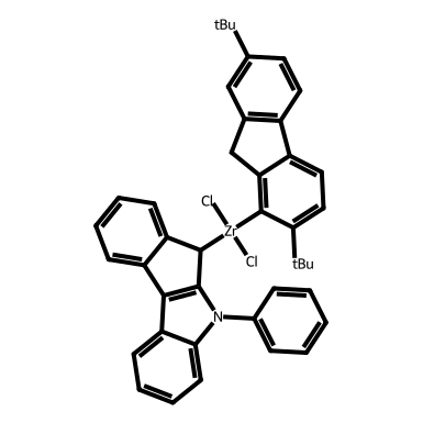 CC(C)(C)c1ccc2c(c1)Cc1c-2ccc(C(C)(C)C)[c]1[Zr]([Cl])([Cl])[CH]1c2ccccc2-c2c1n(-c1ccccc1)c1ccccc21